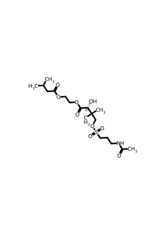 CC(=O)NCCCS(=O)(=O)OCC(C)(C)[C@@H](O)C(=O)OCCOC(=O)CC(C)C